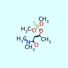 COP(=S)(OC)OC(C)=CC(=O)N(C)C